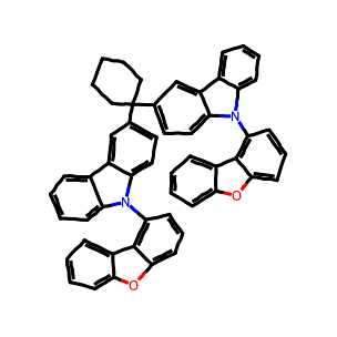 c1ccc2c(c1)oc1cccc(-n3c4ccccc4c4cc(C5(c6ccc7c(c6)c6ccccc6n7-c6cccc7oc8ccccc8c67)CCCCC5)ccc43)c12